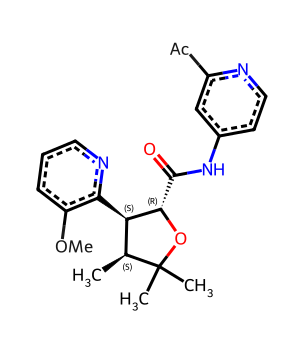 COc1cccnc1[C@H]1[C@H](C(=O)Nc2ccnc(C(C)=O)c2)OC(C)(C)[C@H]1C